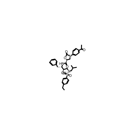 CCc1ccc(S(=O)(=O)N(CC(C)C)C[C@@H](O)[C@H](Cc2ccccc2)NC(=O)[C@@H]2CN(c3ccc(C(C)=O)cc3)C(=O)O2)cc1